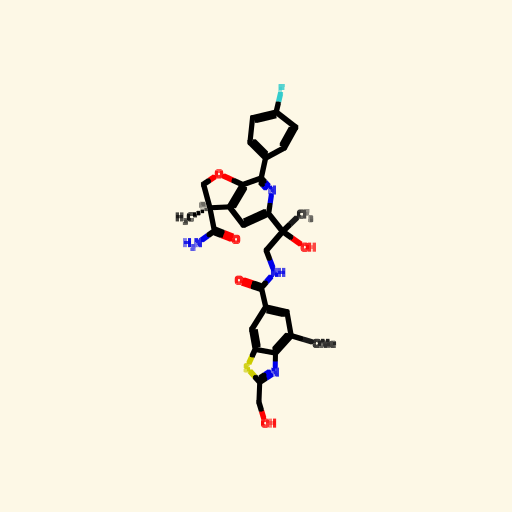 COc1cc(C(=O)NCC(O)(c2cc3c(c(-c4ccc(F)cc4)n2)OC[C@]3(C)C(N)=O)C(F)(F)F)cc2sc(CO)nc12